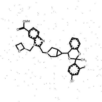 COC(=O)c1ccc2nc(CN3CC4C(C3)C4C3OC(C)(c4ccc(Cl)cc4F)Oc4ccccc43)n(C[C@@H]3CCO3)c2c1